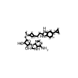 CN(C[C@H]1O[C@@H](N2CNC3C(N)=NC=NC32)[C@H](O)[C@@H]1O)C1CC(CCC2Nc3ccc(C4CC4)cc3N2)C1